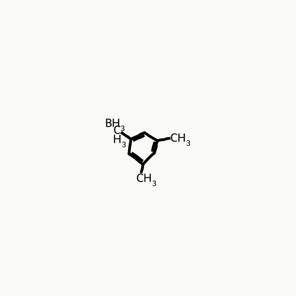 B.Cc1cc(C)cc(C)c1